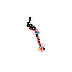 CC(C)CCC[C@@H](C)C1CCC2C3CC=C4CC(OC(=O)NCCCOCCOCCOCCOP(=O)(O)OC(C)(C)C)CC[C@]4(C)C3CC[C@@]21C